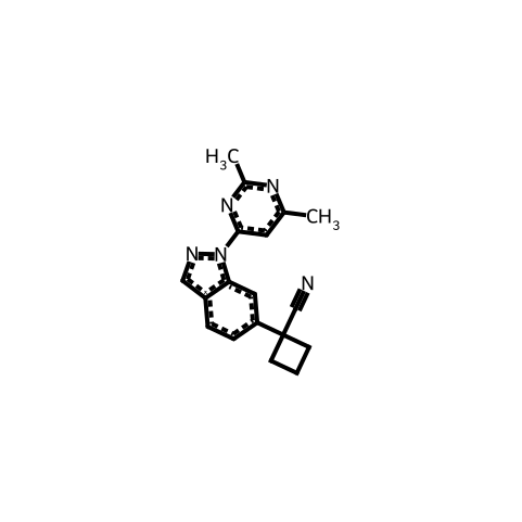 Cc1cc(-n2ncc3ccc(C4(C#N)CCC4)cc32)nc(C)n1